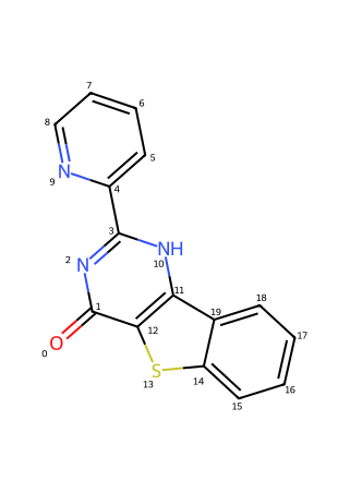 O=c1nc(-c2ccccn2)[nH]c2c1sc1ccccc12